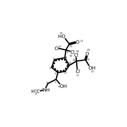 CNCC(O)c1ccc(C(Cl)(Cl)C(=O)O)c(C(Cl)(Cl)C(=O)O)c1